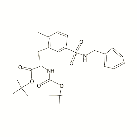 Cc1ccc(S(=O)(=O)NCc2ccccc2)cc1C[C@H](NC(=O)OC(C)(C)C)C(=O)OC(C)(C)C